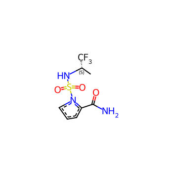 C[C@H](NS(=O)(=O)n1cccc1C(N)=O)C(F)(F)F